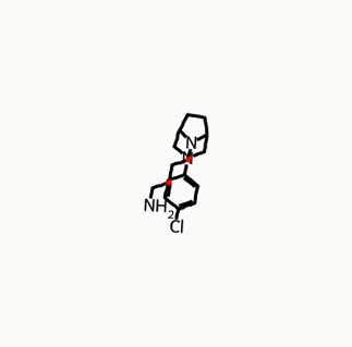 NCCCCN1C2CCC1CN(c1ccc(Cl)cc1)C2